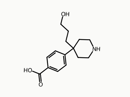 O=C(O)c1ccc(C2(CCCO)CCNCC2)cc1